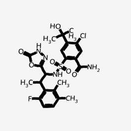 Cc1ccc(F)c(C(C)C(NS(=O)(=O)c2cc(C(C)(C)O)c(Cl)cc2C(N)=O)c2n[nH]c(=O)o2)c1C